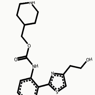 O=C(Nc1ccccc1-c1nc(CCO)cs1)OCC1CCNCC1